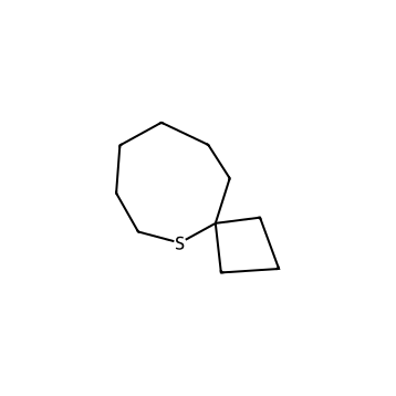 C1CCCC2(CCC2)SCC1